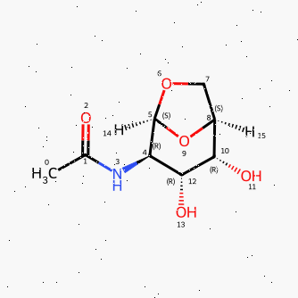 CC(=O)N[C@H]1[C@H]2OC[C@H](O2)[C@H](O)[C@@H]1O